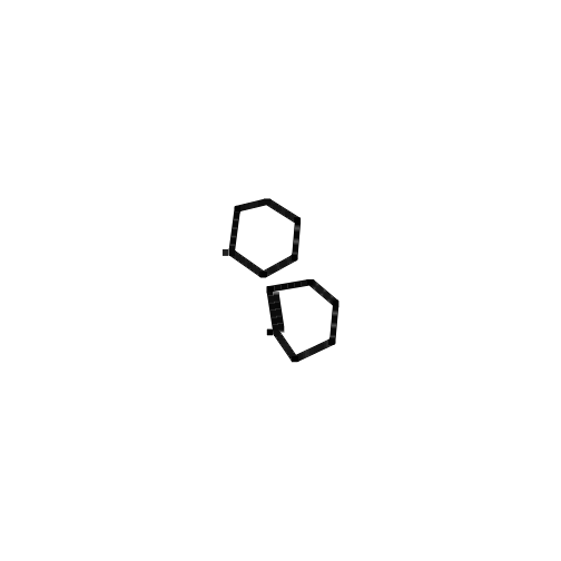 [CH]1CCCCC1.[C]1=CCCCC1